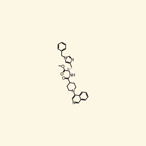 COC(=O)[C@H](Cc1cn(Cc2ccccc2)cn1)NC(=O)C1CCN(c2cncc3ccccc23)CC1